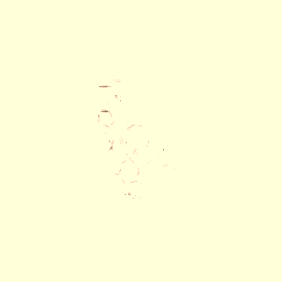 CCOc1cc([C@H](CS(=O)(=O)C2CC2)N2C(=O)c3csc(NC(=O)C(F)(F)F)c3C2=O)ccc1OC